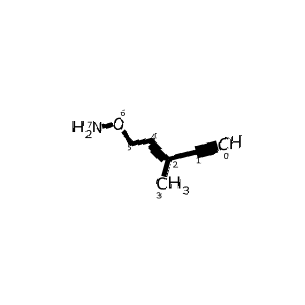 C#C/C(C)=C/CON